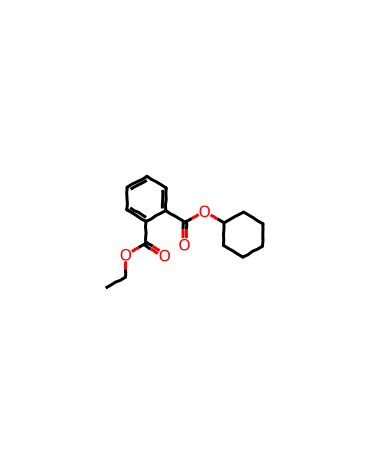 CCOC(=O)c1ccccc1C(=O)OC1CCCCC1